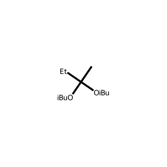 CCC(C)(OCC(C)C)OCC(C)C